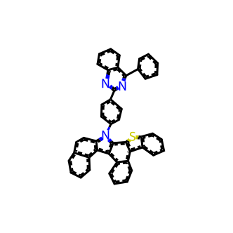 c1ccc(-c2nc(-c3ccc(-n4c5ccc6ccccc6c5c5c6ccccc6c6c7ccccc7sc6c54)cc3)nc3ccccc23)cc1